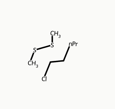 CCCCCCl.CSSC